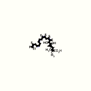 CC/C(F)=C(/F)C/C=C\C/C=C\C/C(F)=C(/F)C/C(F)=C(/F)C(O)C1(O)CC1CC(C)(C)C(=O)O